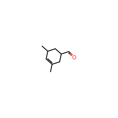 CC1=CC(C)CC(C=O)C1